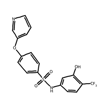 O=S(=O)(Nc1ccc(C(F)(F)F)c(O)c1)c1ccc(Oc2cccnc2)cc1